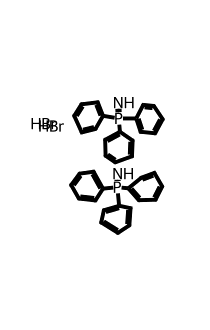 Br.Br.N=P(c1ccccc1)(c1ccccc1)c1ccccc1.N=P(c1ccccc1)(c1ccccc1)c1ccccc1